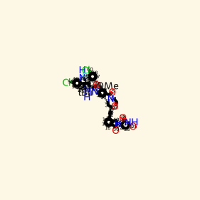 COc1cc(C(=O)N2CCO[C@@H](C#Cc3cccc4c3CN(C3CCC(=O)NC3=O)C4=O)CC2)ccc1NC(=O)[C@@H]1N[C@@H](CC(C)(C)C)[C@@]2(CNc3cc(Cl)ccc32)[C@H]1c1cccc(Cl)c1F